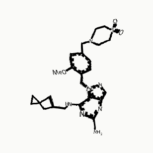 COc1cc(CN2CCS(=O)(=O)CC2)ccc1Cn1ncc2nc(N)nc(NCC3CC4(CC4)C3)c21